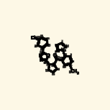 Cc1ccc(-n2nccn2)c(C(=O)N2CCCC2c2nnc(-c3cccc(Cl)c3)o2)c1